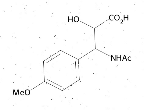 COc1ccc(C(NC(C)=O)C(O)C(=O)O)cc1